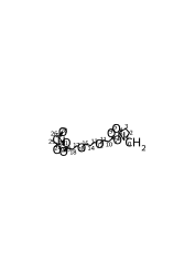 C=C1CCC(=O)N1OC(=O)CCOCCCOCCC(=O)ON1C(=O)CCC1=O